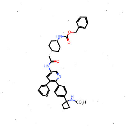 O=C(O)NC1(c2ccc(-c3ncc(NC(=O)C[C@H]4CC[C@H](NC(=O)OCc5ccccc5)CC4)cc3-c3ccccc3)cc2)CCC1